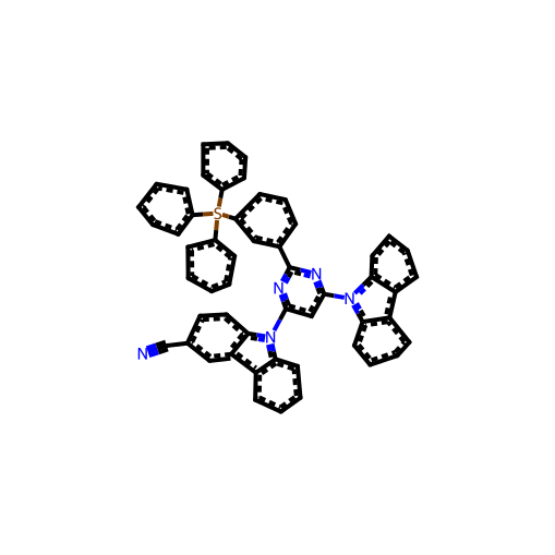 N#Cc1ccc2c(c1)c1ccccc1n2-c1cc(-n2c3ccccc3c3ccccc32)nc(-c2cccc(S(c3ccccc3)(c3ccccc3)c3ccccc3)c2)n1